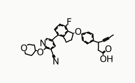 CC#CC(CC(=O)O)c1ccc(O[C@@H]2CCc3c(-c4cnc(OC5CCOCC5)c(C#N)c4)ccc(F)c32)cc1